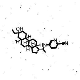 CC[C@@]1(O)CC[C@H]2[C@H](CC[C@@H]3[C@@H]2CC[C@]2(C)[C@@H](C(C)Nc4ccc(C#N)nc4)CC[C@@H]32)C1